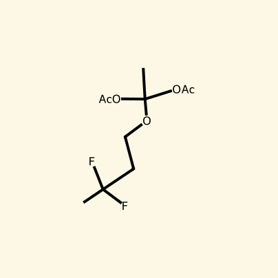 CC(=O)OC(C)(OCCC(C)(F)F)OC(C)=O